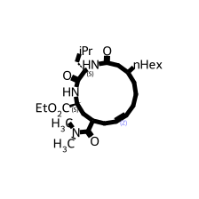 CCCCCCC1CCC/C=C\CC(C(=O)N(C)C)C[C@@H](C(=O)OCC)NC(=O)[C@H](CC(C)C)NC(=O)C1